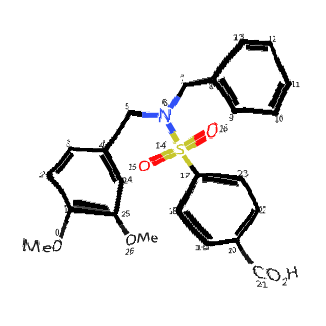 COc1ccc(CN(Cc2ccccc2)S(=O)(=O)c2ccc(C(=O)O)cc2)cc1OC